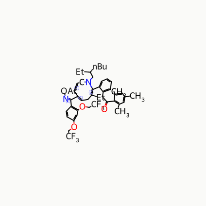 CCCCC(CC)CN1C\C=C/C(C(=N\OC(C)=O)/c2ccc(OCC(F)(F)F)cc2OCC(F)(F)F)=C\C/C(CC)=C\1c1ccccc1CC(=O)c1c(C)cc(C)cc1C